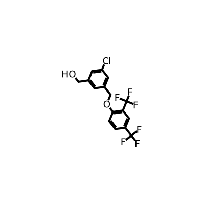 OCc1cc(Cl)cc(COc2ccc(C(F)(F)F)cc2C(F)(F)F)c1